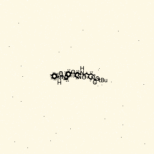 CC(C)(C)OC(=O)N1CCC(CC(=O)Nc2cc(Oc3ccc4c(ccn4C(=O)Nc4ccccc4)c3)ccn2)CC1